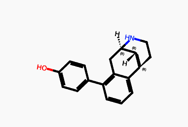 Oc1ccc(-c2cccc3c2C[C@H]2NCC[C@@]34CCCC[C@@H]24)cc1